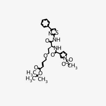 CC(C)(C)OC(=O)/C=C/COCC[C@H](NC(=O)c1ccn(S(C)(=O)=O)c1)C(=O)Nc1nc(-c2ccccc2)cs1